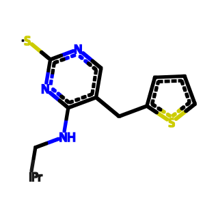 CC(C)CNc1nc([S])ncc1Cc1cccs1